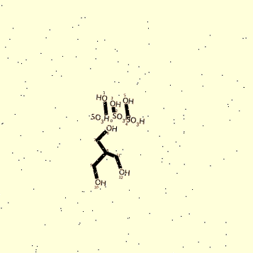 O=S(=O)(O)O.O=S(=O)(O)O.O=S(=O)(O)O.OCC(CO)CO